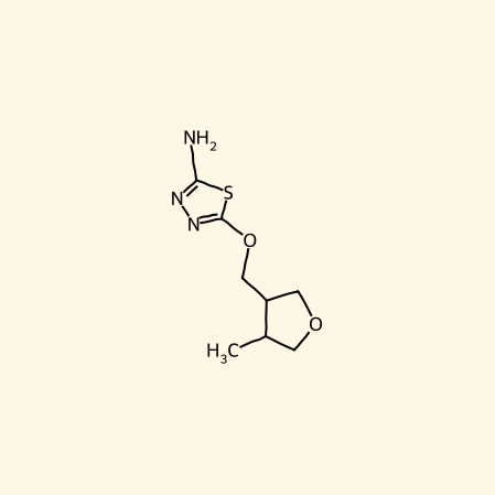 CC1COCC1COc1nnc(N)s1